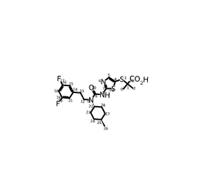 CC(C)(Sc1cnc(NC(=O)N(CCc2cc(F)cc(F)c2)[C@H]2CC[C@H](C)CC2)s1)C(=O)O